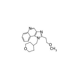 COCCc1nc2cnc3ccccc3c2n1CC1CCOCC1